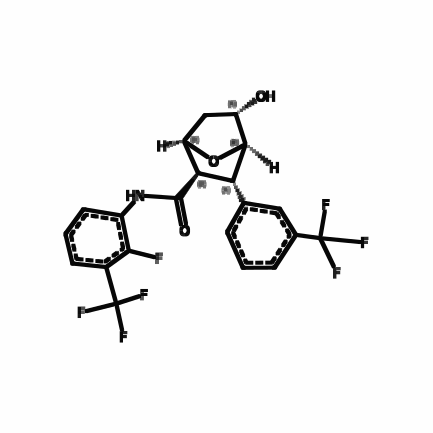 O=C(Nc1cccc(C(F)(F)F)c1F)[C@@H]1[C@@H](c2cccc(C(F)(F)F)c2)[C@H]2O[C@@H]1C[C@@H]2O